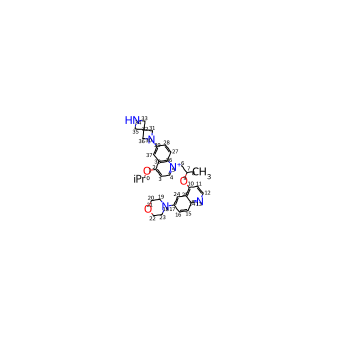 CC(C)Oc1cc[n+](CC(C)Oc2ccnc3ccc(N4CCOCC4)cc23)c2ccc(N3CC4(CNC4)C3)cc12